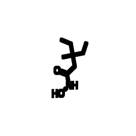 CCC(C)(CC)CC(=O)NO